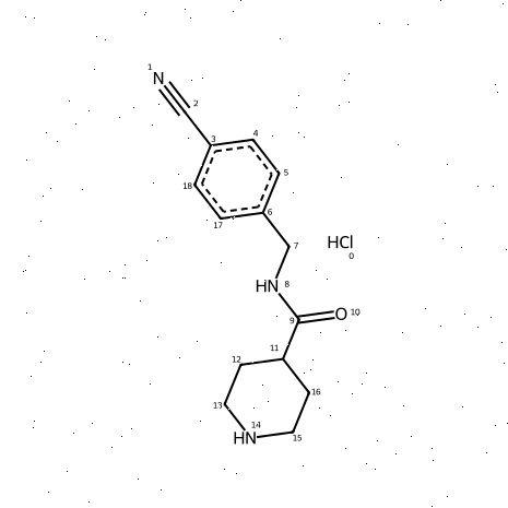 Cl.N#Cc1ccc(CNC(=O)C2CCNCC2)cc1